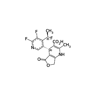 CC1=C(C(=O)O)[C@@H](c2cnc(F)c(F)c2[C@@H](C)F)C2=C(COC2=O)N1